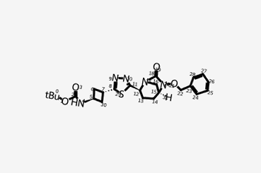 CC(C)(C)OC(=O)N[C@H]1C[C@H](c2nnc([C@@H]3CC[C@H]4CN3C(=O)N4OCc3ccccc3)s2)C1